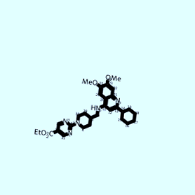 CCOC(=O)c1cnc(N2CCC(CNc3cc(C4CCCCC4)nc4cc(OC)c(OC)cc34)CC2)nc1